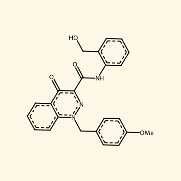 COc1ccc(Cn2nc(C(=O)Nc3ccccc3CO)c(=O)c3ccccc32)cc1